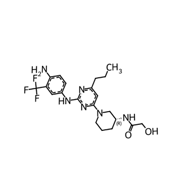 CCCc1cc(N2CCC[C@@H](NC(=O)CO)C2)nc(Nc2ccc(N)c(C(F)(F)F)c2)n1